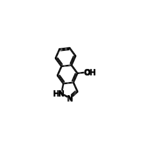 Oc1c2ccccc2cc2[nH]ncc12